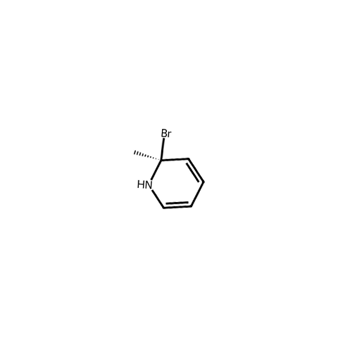 C[C@]1(Br)C=CC=CN1